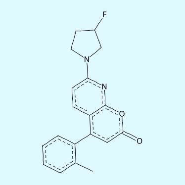 Cc1ccccc1-c1cc(=O)oc2nc(N3CCC(F)C3)ccc12